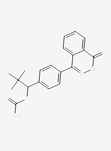 CC(C)(C)C(OC(N)=O)c1ccc(-c2n[nH]c(=O)c3ccccc23)cc1